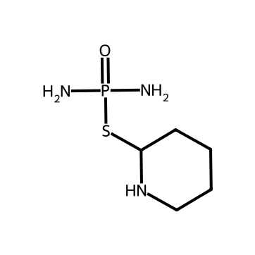 NP(N)(=O)SC1CCCCN1